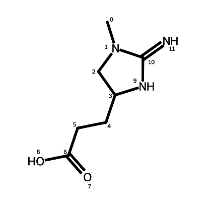 CN1CC(CCC(=O)O)NC1=N